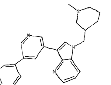 CN1CCCC(Cn2cc(-c3cncc(-c4ccccc4)c3)c3ncccc32)C1